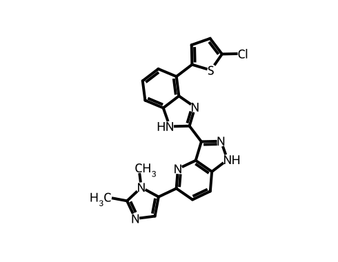 Cc1ncc(-c2ccc3[nH]nc(-c4nc5c(-c6ccc(Cl)s6)cccc5[nH]4)c3n2)n1C